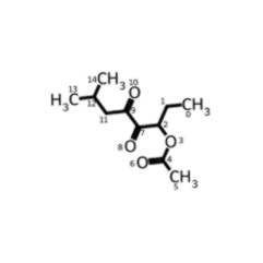 CCC(OC(C)=O)C(=O)C(=O)CC(C)C